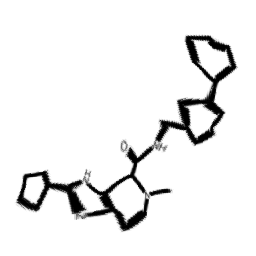 CN1C=Cc2nc(C3CCCC3)[nH]c2C1C(=O)NCc1cccc(-c2ccccc2)c1